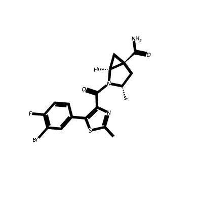 [CH2][C@H]1C[C@@]2(C(N)=O)C[C@@H]2N1C(=O)c1nc(C)sc1-c1ccc(F)c(Br)c1